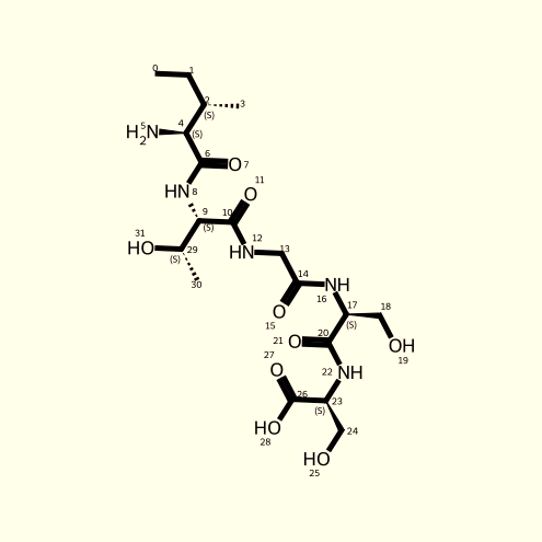 CC[C@H](C)[C@H](N)C(=O)N[C@H](C(=O)NCC(=O)N[C@@H](CO)C(=O)N[C@@H](CO)C(=O)O)[C@H](C)O